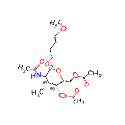 COCCCCO[C@@H]1OC(COC(C)=O)[C@H](OC(C)=O)[C@H](C)C1NC(C)=O